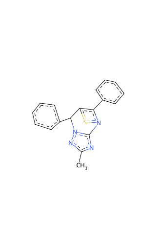 Cc1nc2n(n1)C(c1ccccc1)c1sn-2c1-c1ccccc1